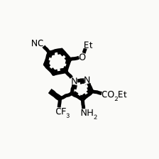 C=C(c1c(N)c(C(=O)OCC)nn1-c1ccc(C#N)cc1OCC)C(F)(F)F